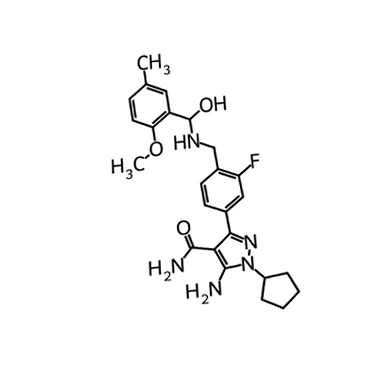 COc1ccc(C)cc1C(O)NCc1ccc(-c2nn(C3CCCC3)c(N)c2C(N)=O)cc1F